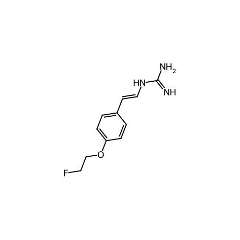 N=C(N)N/C=C/c1ccc(OCCF)cc1